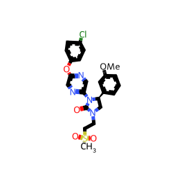 COc1cccc([C@H]2CN(CCS(C)(=O)=O)C(=O)N2c2cnc(Oc3ccc(Cl)cc3)cn2)c1